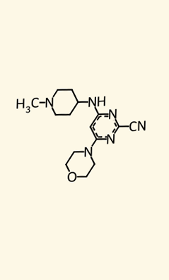 CN1CCC(Nc2cc(N3CCOCC3)nc(C#N)n2)CC1